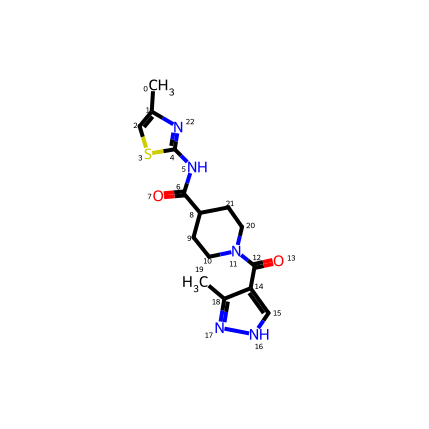 Cc1csc(NC(=O)C2CCN(C(=O)c3c[nH]nc3C)CC2)n1